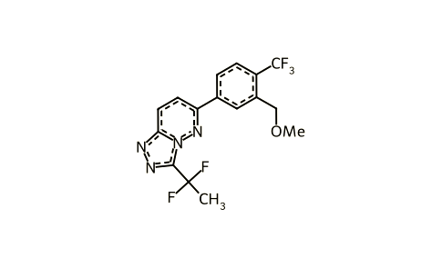 COCc1cc(-c2ccc3nnc(C(C)(F)F)n3n2)ccc1C(F)(F)F